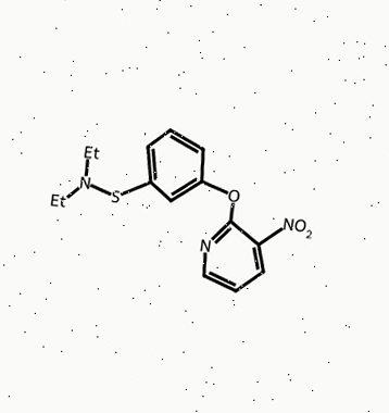 CCN(CC)Sc1cccc(Oc2ncccc2[N+](=O)[O-])c1